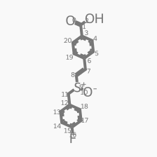 O=C(O)c1ccc(/C=C/[S+]([O-])Cc2ccc(F)cc2)cc1